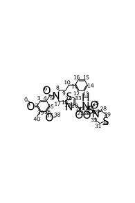 COc1cc(C(=O)N(CCCc2ccccc2)Cc2nc(C(=O)NS(=O)(=O)N3CCSCC3)cs2)cc(OC)c1C